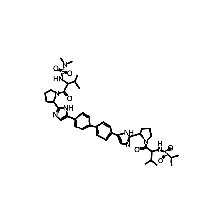 CC(C)C(NS(=O)(=O)C(C)C)C(=O)N1CCCC1c1ncc(-c2ccc(-c3ccc(-c4cnc(C5CCCN5C(=O)C(NS(=O)(=O)N(C)C)C(C)C)[nH]4)cc3)cc2)[nH]1